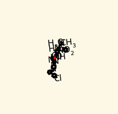 CN(C)CCC(CSc1ccccc1)Nc1ccc(S(=O)(=O)Nc2ncnc3cc(N4CCN(Cc5ccccc5-c5ccc(Cl)cc5)CC4)cnc23)cc1[N+](=O)[O-]